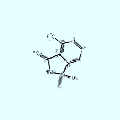 O=C1NS(=O)(=O)c2cccc(C(F)(F)F)c21